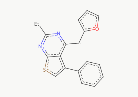 CCc1nc([CH]c2ccco2)c2c(-c3ccccc3)csc2n1